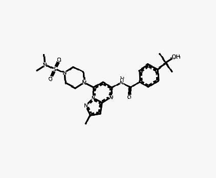 Cc1cc2nc(NC(=O)c3ccc(C(C)(C)O)cc3)cc(N3CCN(S(=O)(=O)N(C)C)CC3)n2n1